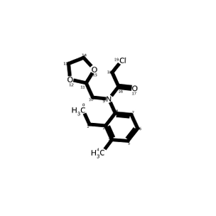 CCc1c(C)cccc1N(CC1OCCO1)C(=O)CCl